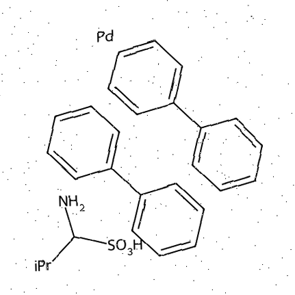 CC(C)C(N)S(=O)(=O)O.[Pd].c1ccc(-c2ccccc2)cc1.c1ccc(-c2ccccc2)cc1